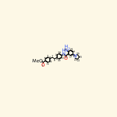 COC(=O)c1ccc(CCc2ccc(NC(=O)c3cc(N4CCCC4)ccc3N)cc2)cc1